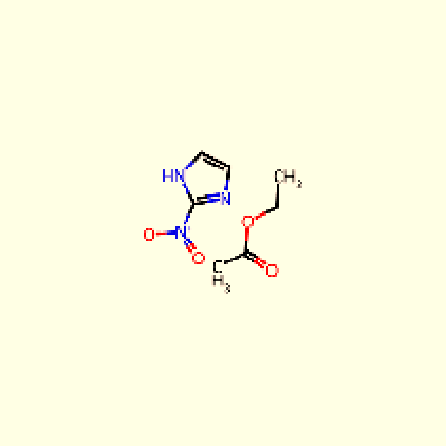 CCOC(C)=O.O=[N+]([O-])c1ncc[nH]1